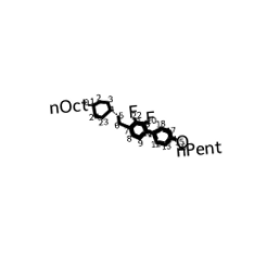 CCCCCCCC[C@H]1CC[C@H](CCc2ccc(-c3ccc(OCCCCC)cc3)c(F)c2F)CC1